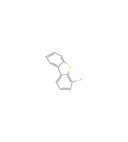 Fc1cccc2c1sc1ccccc12